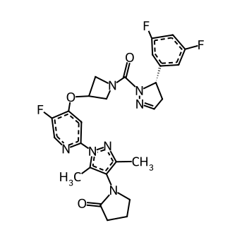 Cc1nn(-c2cc(OC3CN(C(=O)N4N=CC[C@H]4c4cc(F)cc(F)c4)C3)c(F)cn2)c(C)c1N1CCCC1=O